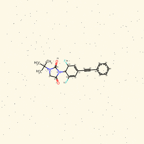 CC(C)(C)N1CC(=O)N(C2C(F)=CC(C#Cc3ccccc3)=CC2F)C1=O